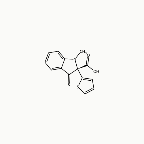 CN1c2ccccc2C(=S)[C@@]1(C(=O)O)c1cccs1